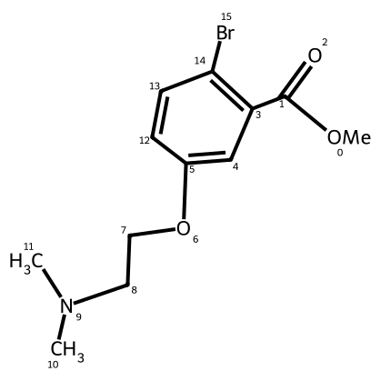 COC(=O)c1cc(OCCN(C)C)ccc1Br